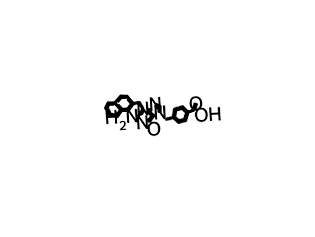 Nc1nc(=O)c2c(ncn2Cc2ccc(C(=O)O)cc2)n1Cc1ccc2ccccc2c1